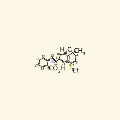 CCSC1=CCC(C)(C)c2ccc(/C=C/c3ccccc3C(=O)O)cc21